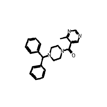 Cc1ncncc1C(=O)N1CCN(C(c2ccccc2)c2ccccc2)CC1